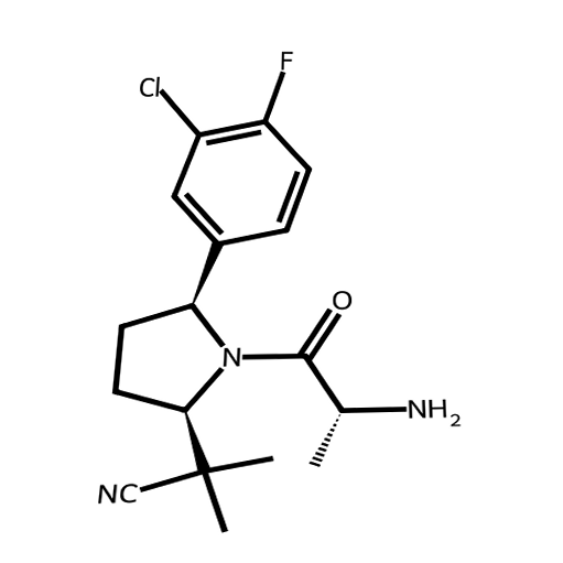 C[C@@H](N)C(=O)N1[C@H](c2ccc(F)c(Cl)c2)CC[C@@H]1C(C)(C)C#N